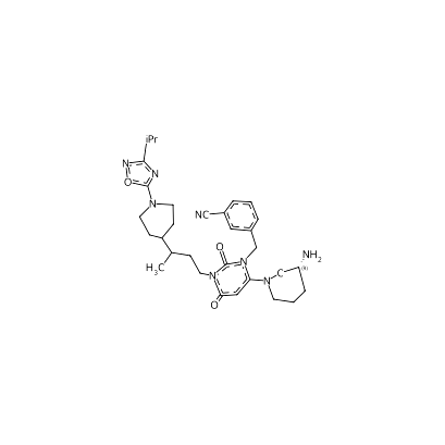 CC(C)c1noc(N2CCC(C(C)CCn3c(=O)cc(N4CCC[C@@H](N)C4)n(Cc4cccc(C#N)c4)c3=O)CC2)n1